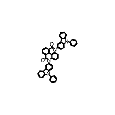 O=c1c2cccc3c(=O)n(-c4ccc5c(c4)c4ccccc4n5-c4ccccc4)c4cccc(c4c23)n1-c1ccc2c(c1)c1ccccc1n2-c1ccccc1